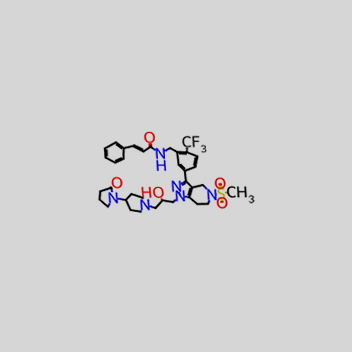 CS(=O)(=O)N1CCc2c(c(-c3ccc(C(F)(F)F)c(CNC(=O)C=Cc4ccccc4)c3)nn2CC(O)CN2CCC(N3CCCC3=O)CC2)C1